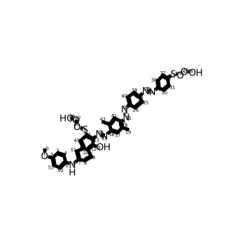 COc1ccc(Nc2ccc3c(O)c(N=Nc4cc(C)c(N=Nc5ccc(N=Nc6ccc(SOOO)cc6)cc5)cc4C)c(SOOO)cc3c2)cc1